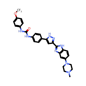 CN1CCN(c2ccc3[nH]c(-c4cc(-c5ccc(NC(=O)Nc6ccc(OC(F)(F)F)cc6)cc5)[nH]n4)nc3c2)CC1